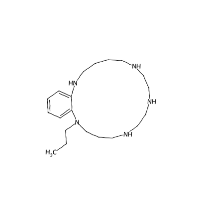 CCCN1CCCNCCNCCNCCCCNc2ccccc21